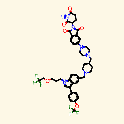 O=C1CCC(N2C(=O)c3ccc(N4CCN(CC5CCN(Cc6ccc7c(c6)c(-c6ccc(OC(F)(F)F)cc6)cn7CCCOCC(F)(F)F)CC5)CC4)cc3C2=O)C(=O)N1